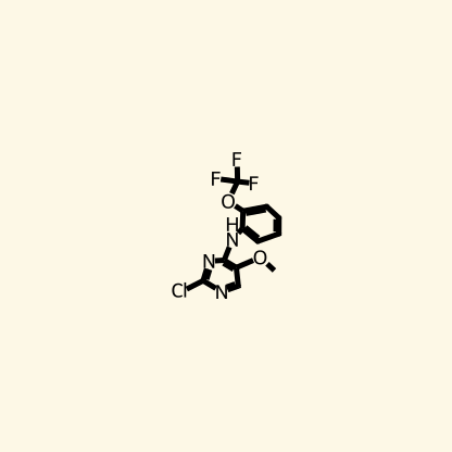 COc1cnc(Cl)nc1Nc1ccccc1OC(F)(F)F